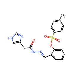 O=C(Cc1c[nH]cn1)N/N=C/c1ccccc1OS(=O)(=O)c1ccc(C(F)(F)F)cc1